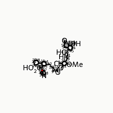 COc1cc(OCC(=O)N(C)CCCc2ccc(-c3ccccc3)c(N(C(=O)O)C34CCN(CC3)CC4)c2)c(Cl)cc1CNC[C@@H](O)c1ccc(O)c2[nH]c(=O)ccc12